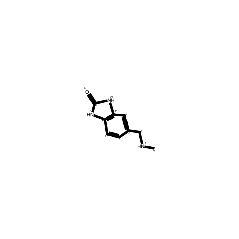 CNCc1ccc2[nH]c(=O)[nH]c2c1